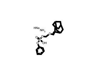 N.O=P(O)(OCOC=C1C2CC3CC(C2)CC1C3)Oc1ccccc1.[NaH]